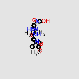 COc1ccc2c(c1)OCCn1c-2c(C2CCCCC2)c2ccc(C(=O)NC(C)(C)c3nc4cc(C(=O)N5CCC(O)CC5)ccc4[nH]3)cc21